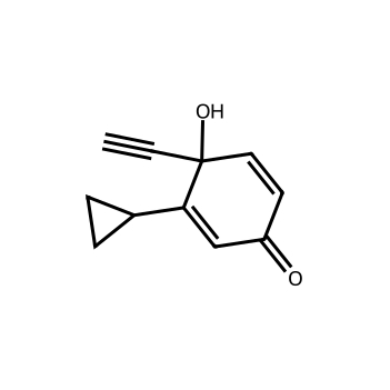 C#CC1(O)C=CC(=O)C=C1C1CC1